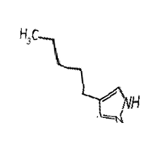 CCCCCc1[c]n[nH]c1